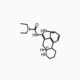 CCN(CC)C(=O)Nc1[nH]c2cccc3c2c1C[C@H]1NCCCC31